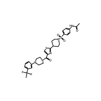 CC(=O)Nc1ccc(S(=O)(=O)N2CCC(c3nc(C(=O)N4CCN(c5cccc(C(F)(F)F)c5)CC4)cs3)CC2)cc1